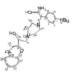 CCCCc1ccc(C(C(N)=O)N2CCN(CC(O)C3COc4ccccc4O3)CC2)cc1